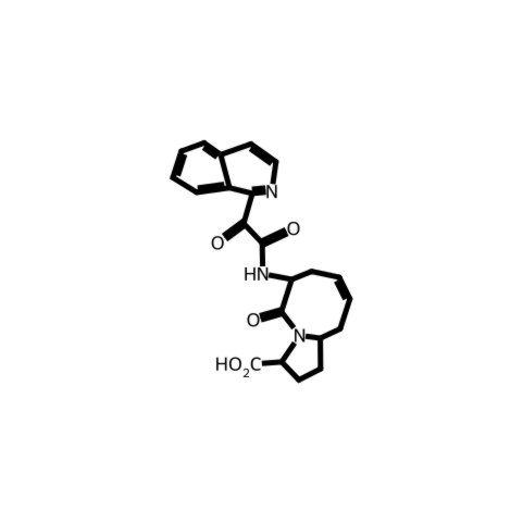 O=C(NC1CC=CCC2CCC(C(=O)O)N2C1=O)C(=O)c1nccc2ccccc12